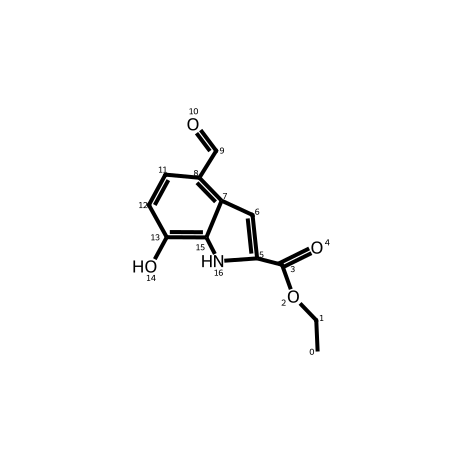 CCOC(=O)c1cc2c(C=O)ccc(O)c2[nH]1